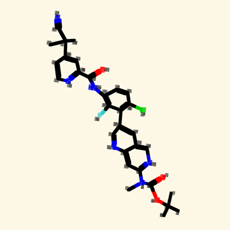 CN(C(=O)OC(C)(C)C)c1cc2ncc(-c3c(Cl)ccc(NC(=O)c4cc(C(C)(C)C#N)ccn4)c3F)cc2cn1